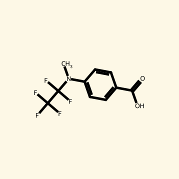 CN(c1ccc(C(=O)O)cc1)C(F)(F)C(F)(F)F